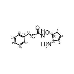 N[C@H]1C=CC[C@H]1ONC(=O)OCc1ccccc1